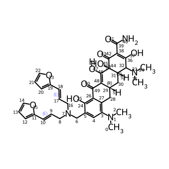 CN(C)c1cc(CN(C/C=C/c2ccco2)C/C=C/c2ccco2)c(O)c2c1C[C@H]1C[C@H]3C(N(C)C)C(O)=C(C(N)=O)C(=O)[C@@]3(O)C(O)=C1C2=O